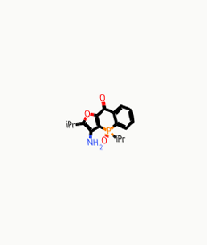 CC(C)c1oc2c(c1N)P(=O)(C(C)C)c1ccccc1C2=O